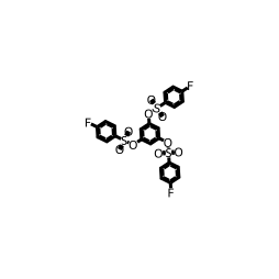 O=S(=O)(Oc1cc(OS(=O)(=O)c2ccc(F)cc2)cc(OS(=O)(=O)c2ccc(F)cc2)c1)c1ccc(F)cc1